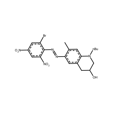 CCCCN1CC(O)Cc2cc(N=Nc3c(Br)cc([N+](=O)[O-])cc3[N+](=O)[O-])c(C)cc21